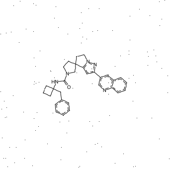 O=C(NC1(Cc2ccccc2)CCC1)N1CCC2(CCn3nc(-c4cnc5ccccc5c4)cc32)C1